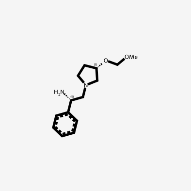 COCO[C@H]1CCN(C[C@@H](N)c2ccccc2)C1